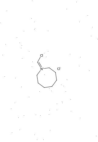 ClC=[N+]1CCCCCCC1.[Cl-]